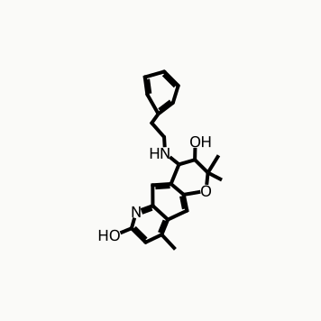 Cc1cc(O)nc2cc3c(cc12)OC(C)(C)C(O)C3NCCc1ccccc1